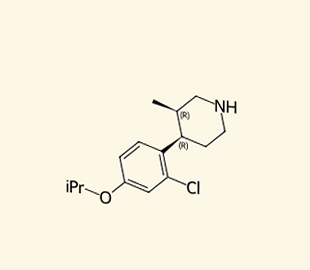 CC(C)Oc1ccc([C@@H]2CCNC[C@@H]2C)c(Cl)c1